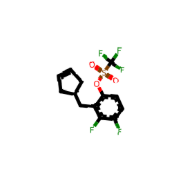 O=S(=O)(Oc1ccc(F)c(F)c1CC1CC=CC1)C(F)(F)F